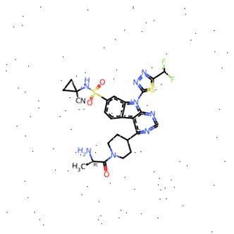 C[C@@H](N)C(=O)N1CCC(c2ncnc3c2c2ccc(S(=O)(=O)NC4(C#N)CC4)cc2n3-c2nnc(C(F)F)s2)CC1